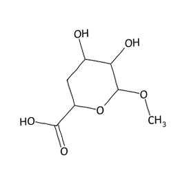 COC1OC(C(=O)O)CC(O)C1O